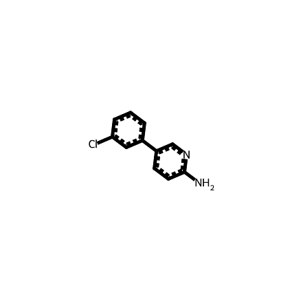 Nc1ccc(-c2cccc(Cl)c2)cn1